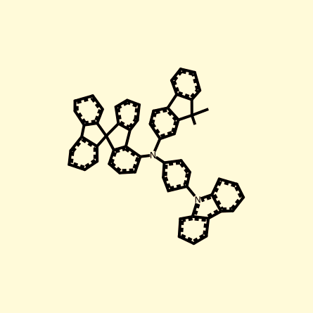 CC1(C)c2ccccc2-c2ccc(N(c3ccc(-n4c5ccccc5c5ccccc54)cc3)c3cccc4c3-c3ccccc3C43c4ccccc4-c4ccccc43)cc21